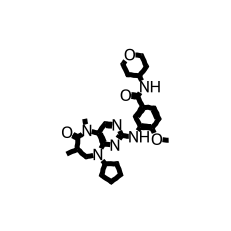 COc1ccc(C(=O)NC2CCOCC2)cc1Nc1ncc2c(n1)N(C1CCCC1)CC(C)C(=O)N2C